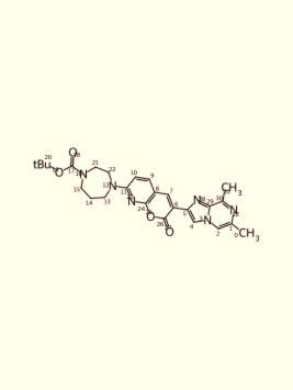 Cc1cn2cc(-c3cc4ccc(N5CCCN(C(=O)OC(C)(C)C)CC5)nc4oc3=O)nc2c(C)n1